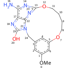 COc1cc2cc(c1)OCCCCOc1nc(N)c3nc(O)n(c3n1)C2